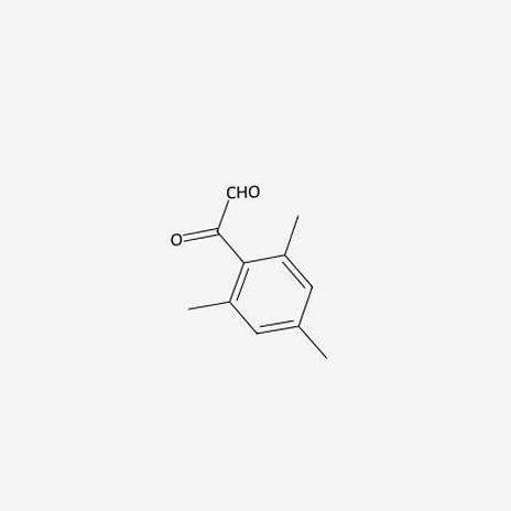 Cc1cc(C)c(C(=O)C=O)c(C)c1